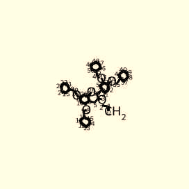 C=CCOC1Cc2c(OCc3ccccc3)cc(OCc3ccccc3)cc2OC1c1ccc(OCc2ccccc2)c(OCc2ccccc2)c1